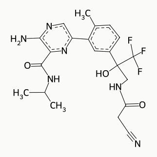 Cc1ccc(C(O)(CNC(=O)CC#N)C(F)(F)F)cc1-c1cnc(N)c(C(=O)NC(C)C)n1